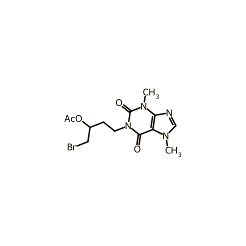 CC(=O)OC(CBr)CCn1c(=O)c2c(ncn2C)n(C)c1=O